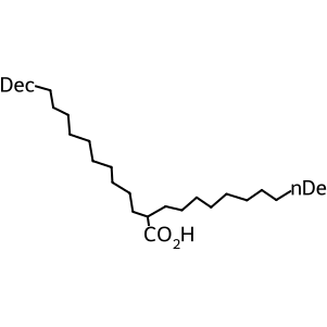 CCCCCCCCCCCCCCCCCCCCC(CCCCCCCCCCCCCCCCCC)C(=O)O